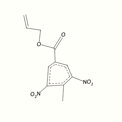 C=CCOC(=O)c1cc([N+](=O)[O-])c(C)c([N+](=O)[O-])c1